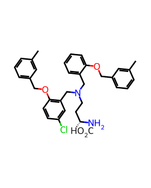 Cc1cccc(COc2ccccc2CN(CC[C@H](N)C(=O)O)Cc2cc(Cl)ccc2OCc2cccc(C)c2)c1